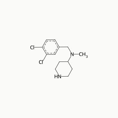 CN(Cc1ccc(Cl)c(Cl)c1)C1CCNCC1